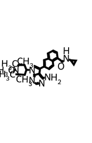 CN1C(C)(C)CC(n2cc(-c3ccc4c(C(=O)NC5CC5)cccc4c3)c3c(N)ncnc32)CC1(C)C